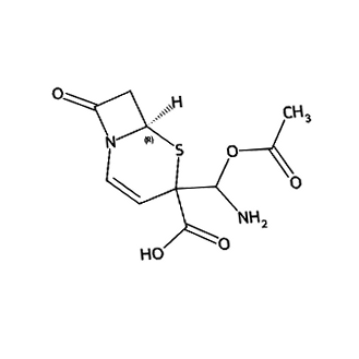 CC(=O)OC(N)C1(C(=O)O)C=CN2C(=O)C[C@H]2S1